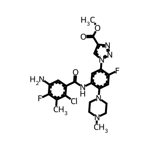 COC(=O)c1cn(-c2cc(NC(=O)c3cc(N)c(F)c(C)c3Cl)c(N3CCN(C)CC3)cc2F)nn1